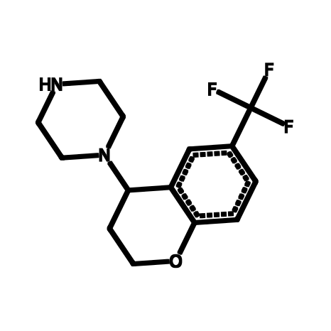 FC(F)(F)c1ccc2c(c1)C(N1CCNCC1)CCO2